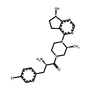 C[C@H]1CN(C(=O)[C@H](N)Cc2ccc(Cl)cc2)CCN1c1ncnc2c1CC[C@H]2O